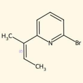 C/C=C(/C)c1cccc(Br)n1